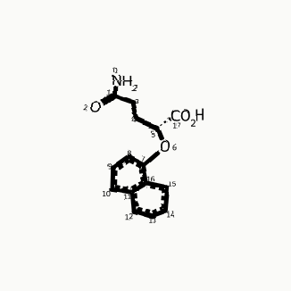 NC(=O)CC[C@@H](Oc1cccc2ccccc12)C(=O)O